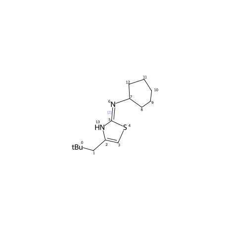 CC(C)(C)Cc1cs/c(=N\C2CCCCC2)[nH]1